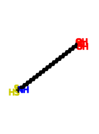 O=P(O)(O)CCCCCCCCCCCCCCCCCCCCCCCCCCCCCCCCCCCNC(=S)S